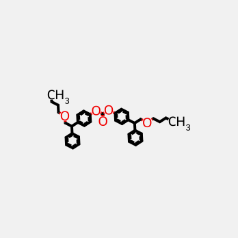 CCCCOCC(c1ccccc1)c1ccc(OC(=O)Oc2ccc(C(COCCCC)c3ccccc3)cc2)cc1